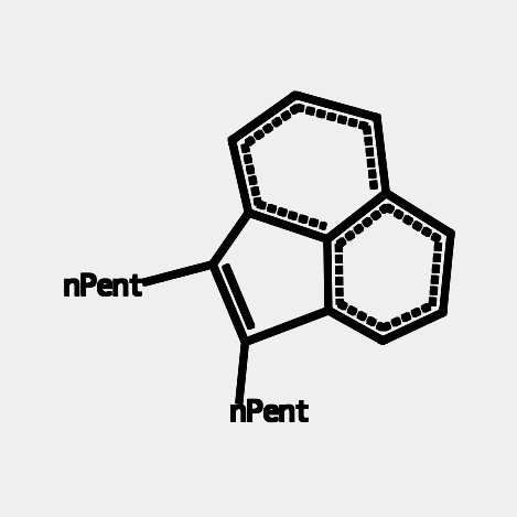 CCCCCC1=C(CCCCC)c2cccc3cccc1c23